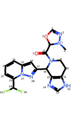 CN1N=COC1C(=O)N1CCc2[nH]cnc2C1c1cc2cccc(C(F)F)n2n1